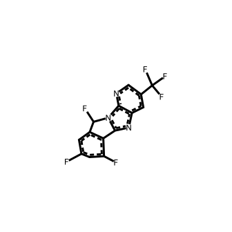 Fc1cc(F)c2c(c1)C(F)n1c-2nc2cc(C(F)(F)F)cnc21